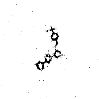 FC(F)(F)c1ccc(CO[C@@H]2CNC[C@H]2n2cc(-c3cccnc3)nn2)cc1